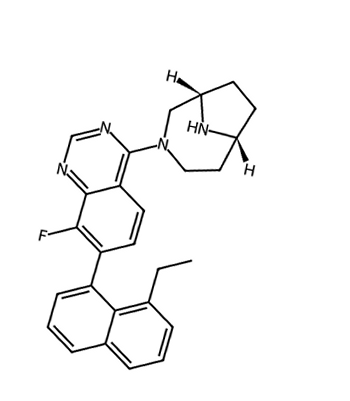 CCc1cccc2cccc(-c3ccc4c(N5CC[C@H]6CC[C@@H](C5)N6)ncnc4c3F)c12